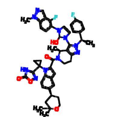 C[C@H](c1ccc(F)cc1)n1nc2c(c1N1C=CN(c3ccc4c(cnn4C)c3F)C1O)[C@H](C)N(C(=O)c1cc3cc([C@H]4CCOC(C)(C)C4)ccc3n1C1(c3noc(=O)[nH]3)CC1)CC2